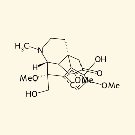 COC1=CC2[C@H]3N(C)CC[C@]2(CC1=O)c1c(ccc(OC)c1O)[C@]3(CO)OC